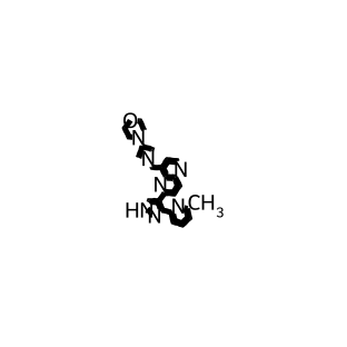 Cc1cccc(-c2n[nH]cc2-c2ccc3nccc(CN4CC(N5CCOCC5)C4)c3n2)n1